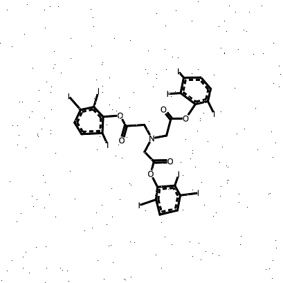 O=C(CN(CC(=O)Oc1c(I)ccc(I)c1I)CC(=O)Oc1c(I)ccc(I)c1I)Oc1c(I)ccc(I)c1I